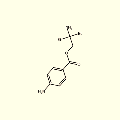 CCC(N)(CC)COC(=O)c1ccc(N)cc1